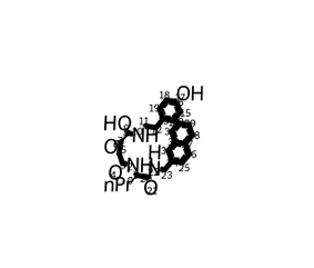 CCC[C@H](NC(=O)C1O[C@H]1C(O)NCCc1ccc(O)cc1)C(=O)NCc1ccc2ccccc2c1